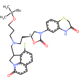 CC(C)(C)[Si](C)(C)OCCCN(CC[C@H]1CN(c2ccc3c(c2)NC(=O)CS3)C(=O)O1)CC1Cn2c(=O)ccc3ccc(F)c1c32